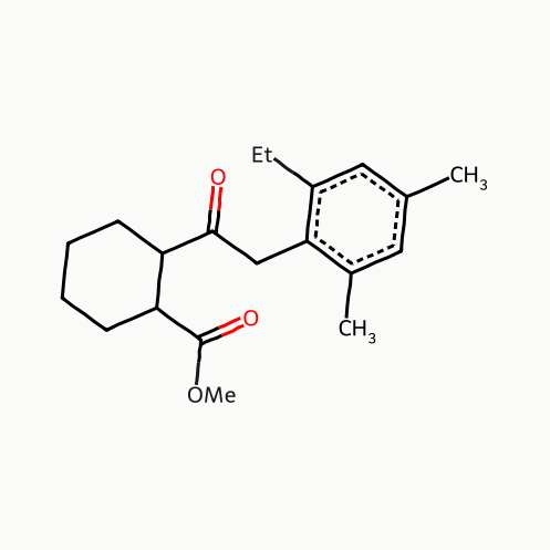 CCc1cc(C)cc(C)c1CC(=O)C1CCCCC1C(=O)OC